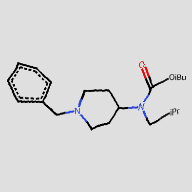 CC(C)COC(=O)N(CC(C)C)C1CCN(Cc2ccccc2)CC1